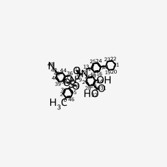 Cc1ccc(S(=O)(=O)N(CC(=O)N(Cc2ccc(C3CCCCC3)cc2)c2ccc(C(=O)O)c(O)c2)Cc2cccc(C#N)c2)cc1